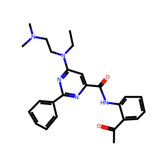 CCN(CCN(C)C)c1cc(C(=O)Nc2ccccc2C(C)=O)nc(-c2ccccc2)n1